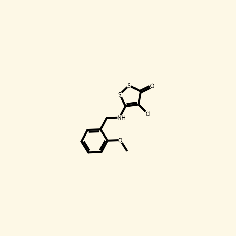 COc1ccccc1CNc1ssc(=O)c1Cl